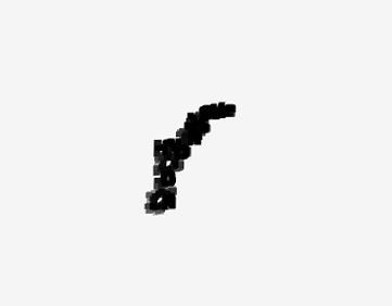 CSc1nn2cc(C3Nc4ccc(OCc5cccnc5)cc4O3)nc2s1